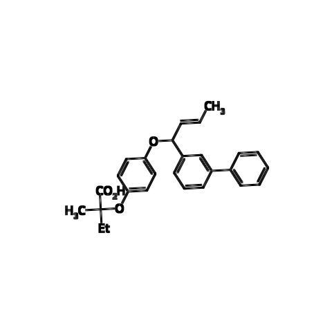 C/C=C/C(Oc1ccc(OC(C)(CC)C(=O)O)cc1)c1cccc(-c2ccccc2)c1